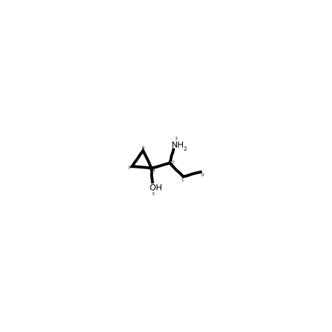 CCC(N)C1(O)CC1